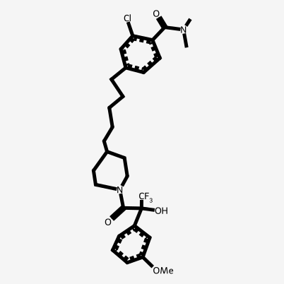 COc1cccc(C(O)(C(=O)N2CCC(CCCCCc3ccc(C(=O)N(C)C)c(Cl)c3)CC2)C(F)(F)F)c1